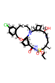 CCC[C@H]1[C@H](C)C/C=C\[C@H](O)[C@@H]2CC[C@H]2CN2CCCCc3cc(Cl)ccc3COc3ccc(cc32)C(=O)NS1(=O)=O